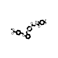 COC(=O)c1ccc(COc2ccccc2CN2CCN(C(=O)CNC(=O)C3(C)CCC(F)(F)CC3)CC2)cc1